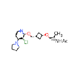 CC(=O)N[C@@H](C)CO[C@H]1C[C@H](COc2nccc(N3CCCC3)c2Cl)C1